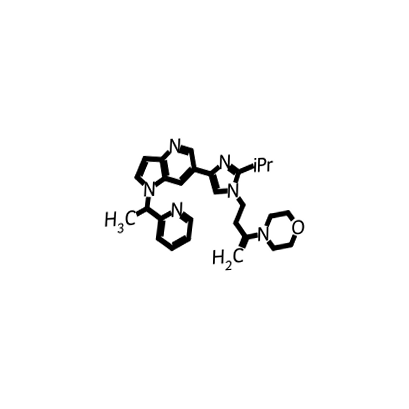 C=C(CCn1cc(-c2cnc3ccn(C(C)c4ccccn4)c3c2)nc1C(C)C)N1CCOCC1